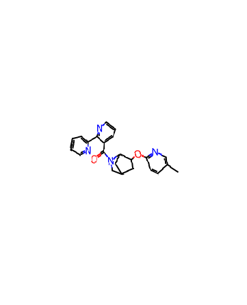 Cc1ccc(OC2CC3CC2N(C(=O)c2cccnc2-c2ccccn2)C3)nc1